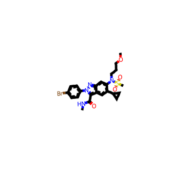 CNC(=O)c1c2cc(C3CC3)c(N(CCCOC)S(C)(=O)=O)cc2nn1-c1ccc(Br)cc1